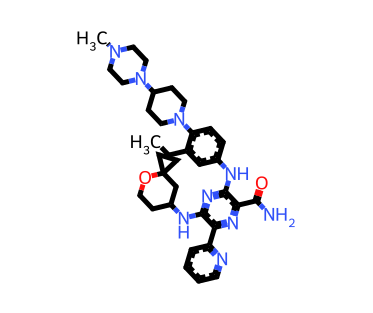 CCc1cc(Nc2nc(NC3CCOC4(CC4)C3)c(-c3ccccn3)nc2C(N)=O)ccc1N1CCC(N2CCN(C)CC2)CC1